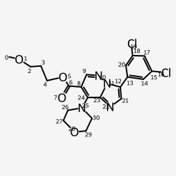 COCCCOC(=O)c1cnn2c(-c3cc(Cl)cc(Cl)c3)cnc2c1N1CCOCC1